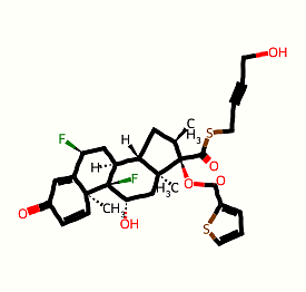 C[C@@H]1C[C@H]2[C@@H]3C[C@H](F)C4=CC(=O)C=C[C@]4(C)[C@@]3(F)[C@@H](O)C[C@]2(C)[C@@]1(OC(=O)c1cccs1)C(=O)SCC#CCO